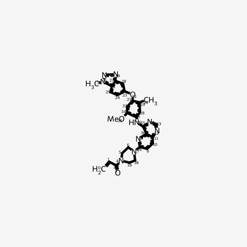 C=CC(=O)N1CCN(c2ccc3ncnc(Nc4cc(C)c(Oc5ccc6c(c5)nnn6C)cc4OC)c3n2)CC1